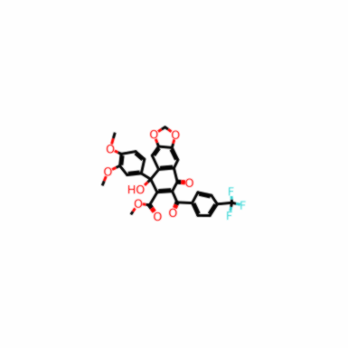 COC(=O)C1=C(C(=O)c2ccc(C(F)(F)F)cc2)C(=O)c2cc3c(cc2C1(O)c1ccc(OC)c(OC)c1)OCO3